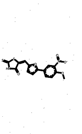 COc1ccc(-c2ccc(/C=C3/SC(=S)NC3=O)o2)cc1[N+](=O)[O-]